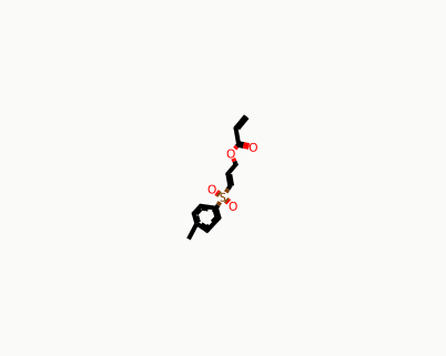 C=CC(=O)OCC=CS(=O)(=O)c1ccc(C)cc1